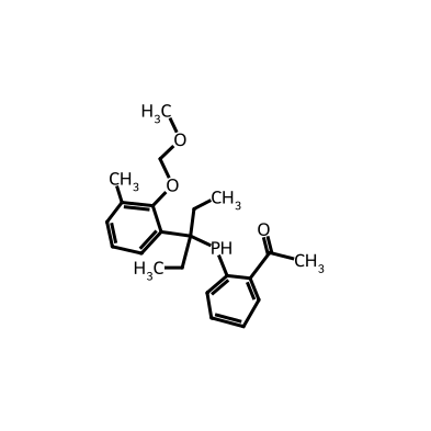 CCC(CC)(Pc1ccccc1C(C)=O)c1cccc(C)c1OCOC